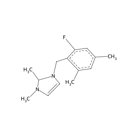 Cc1cc(C)c(CN2C=CN(C)C2C)c(F)c1